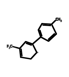 Cc1ccc(C2=CC(C(F)(F)F)=CC[CH]2)cc1